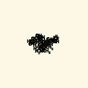 CC(O/C(=C\NC(=O)[C@@H](NC(=O)[C@H](C)NC(=O)N[C@@H](Cc1c[nH]c2ccccc12)C(=O)O)[C@H](C)N(C)C(=O)[C@H](C)N)[C@H](O)CO)n1ccc(=O)[nH]c1=O